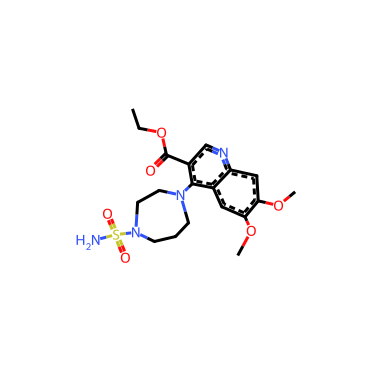 CCOC(=O)c1cnc2cc(OC)c(OC)cc2c1N1CCCN(S(N)(=O)=O)CC1